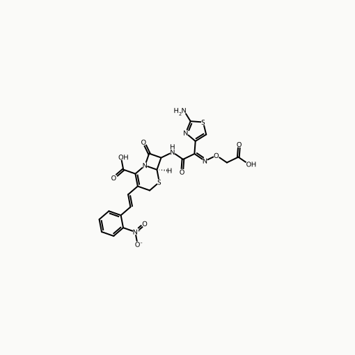 Nc1nc(/C(=N\OCC(=O)O)C(=O)NC2C(=O)N3C(C(=O)O)=C(/C=C/c4ccccc4[N+](=O)[O-])CS[C@H]23)cs1